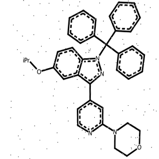 CC(C)Oc1ccc2c(c1)c(-c1ccnc(N3CCOCC3)c1)nn2C(c1ccccc1)(c1ccccc1)c1ccccc1